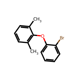 Cc1cccc(C)c1Oc1ccccc1Br